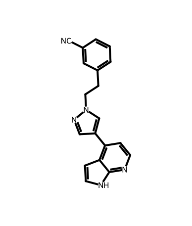 N#Cc1cccc(CCn2cc(-c3ccnc4[nH]ccc34)cn2)c1